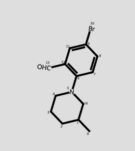 CC1CCCN(c2ccc(Br)cc2C=O)C1